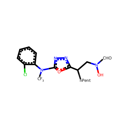 CCCCCC(CN(O)C=O)c1nnc(N(c2ccccc2Cl)C(F)(F)F)o1